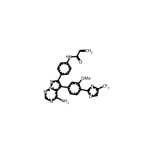 C=CC(=O)Nc1ccc(-c2nn3ncnc(N)c3c2-c2ccc(-c3nc(C(F)(F)F)co3)c(OC)c2)cc1